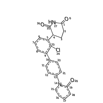 O=C1CCC(c2cccc(-c3ccc(-n4ccccc4=O)cc3)c2Cl)C(=O)N1